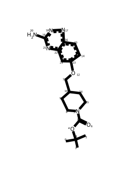 CC(C)(C)OC(=O)N1CCC(COc2ccc3nnc(N)nc3c2)CC1